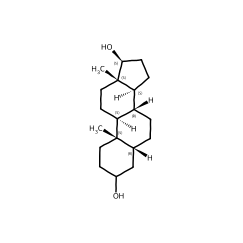 C[C@]12CCC(O)C[C@H]1CC[C@@H]1[C@@H]2CC[C@]2(C)[C@@H](O)CC[C@@H]12